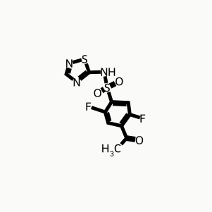 CC(=O)c1cc(F)c(S(=O)(=O)Nc2ncns2)cc1F